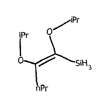 CCCC(OC(C)C)=C([SiH3])OC(C)C